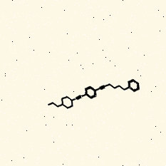 CCCC1CCC(C#Cc2ccc(C#CCCCCc3ccccc3)cc2)CC1